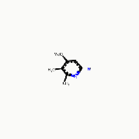 COc1ccnc(C)c1C.[N]